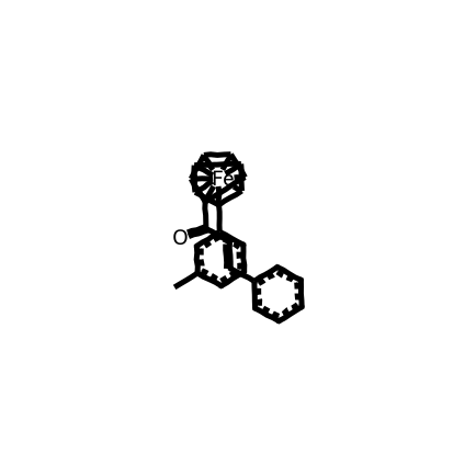 Cc1cccc([C]23[CH]4[CH]5[CH]6[CH]2[Fe]56432789[CH]3[CH]2[CH]7[C]8(C(=O)C=Cc2ccccc2)[CH]39)c1